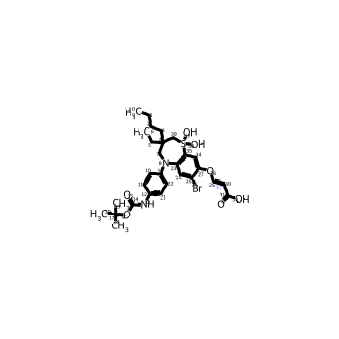 CCCCC1(CC)CN(c2ccc(NC(=O)OC(C)(C)C)cc2)c2cc(Br)c(O/C=C/C(=O)O)cc2S(O)(O)C1